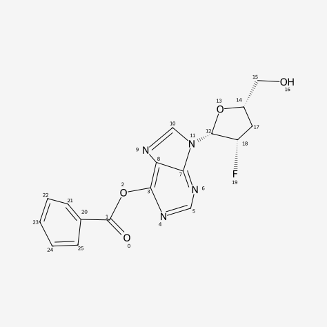 O=C(Oc1ncnc2c1ncn2[C@@H]1O[C@H](CO)C[C@@H]1F)c1ccccc1